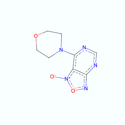 [O-][n+]1onc2ncnc(N3CCOCC3)c21